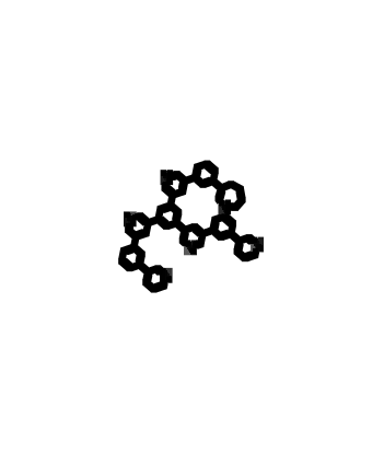 C1=CCC(c2cccc(-c3cncc(-c4cc(-c5cncc(-c6cccc(-c7cccnc7)c6)c5)cc(-c5cncc(-c6cccc(-c7cccnc7)c6)c5)c4)c3)c2)=CN=C1